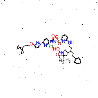 CC1(C)CC(C(CCNc2cccc(S(=O)(=O)NC(=O)c3ccc(-n4ccc(OCCC5C6(CC6)C56CC6)n4)nc3Cl)n2)CCc2ccccc2)CN1C(=O)O